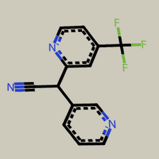 N#CC(c1cccnc1)c1cc(C(F)(F)F)ccn1